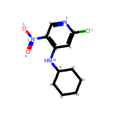 O=[N+]([O-])c1cnc(Cl)cc1NC1CCCCC1